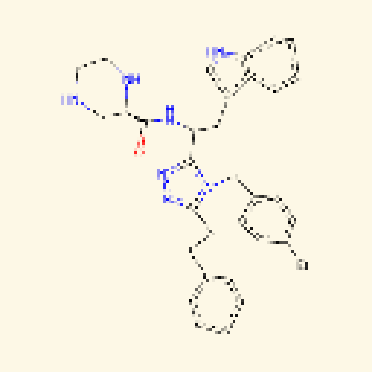 CCc1ccc(Cn2c(CCc3ccccc3)nnc2C(Cc2c[nH]c3ccccc23)NC(=O)[C@H]2CNCCN2)cc1